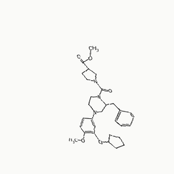 COC(=O)C1CCN(C(=O)N2CCN(c3ccc(OC)c(OC4CCCC4)c3)CC2Cc2ccccc2)C1